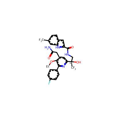 CCOc1c(CC(N)=O)cc([C@@](O)(CNC(=O)c2cc3ccc(C(F)(F)F)cc3[nH]2)C(F)(F)F)nc1-c1ccc(F)cc1